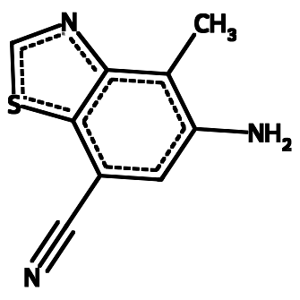 Cc1c(N)cc(C#N)c2scnc12